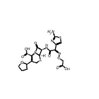 Nc1nc(/C(=N/OCC(=O)O)C(=O)N[C@@H]2C(=O)N3C(C(=O)O)=C(C4CCCO4)CS[C@H]23)cs1